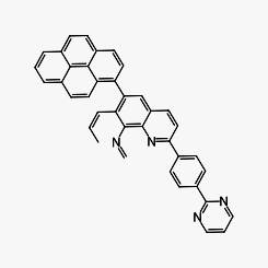 C=Nc1c(/C=C\C)c(-c2ccc3ccc4cccc5ccc2c3c45)cc2ccc(-c3ccc(-c4ncccn4)cc3)nc12